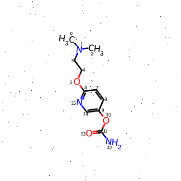 CN(C)CCOc1ccc(OC(N)=O)cn1